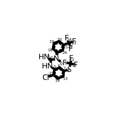 CN(C(=N)Nc1cc(SC(F)(F)F)ccc1Cl)c1cccc(C(F)(F)F)c1